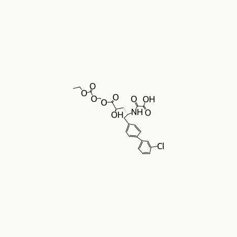 CCOC(=O)OCOC(=O)[C@H](O)C[C@@H](Cc1ccc(-c2cccc(Cl)c2)cc1)NC(=O)C(=O)O